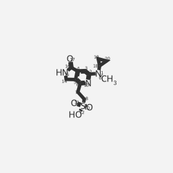 CN(c1cc2c(c(CCS(=O)(=O)O)n1)CNC2=O)C1CC1